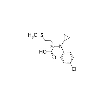 CSCC[C@@H](C(=O)O)N(c1ccc(Cl)cc1)C1CC1